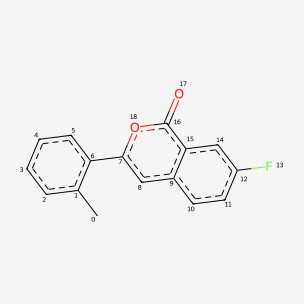 Cc1ccccc1-c1cc2ccc(F)cc2c(=O)o1